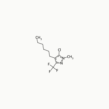 CCCCCCc1c(C(F)(F)F)nn(C)c1Cl